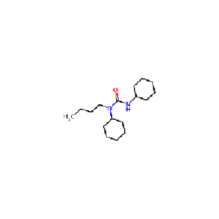 CCCCN(C(=O)NC1CCCCC1)C1CCCCC1